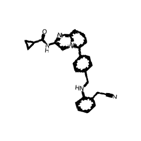 N#CCc1ccccc1NCc1ccc(-c2cccc3nc(NC(=O)C4CC4)cn23)cc1